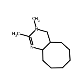 CC1=NC2CCCCCCC2CN1C